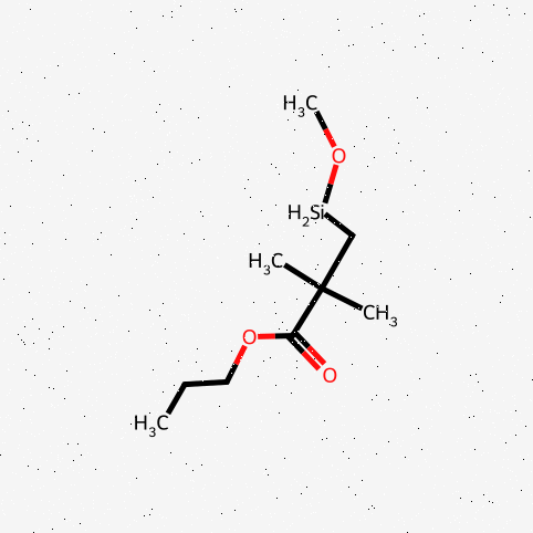 CCCOC(=O)C(C)(C)C[SiH2]OC